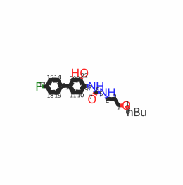 CCCCOCCCNC(=O)Nc1ccc(-c2ccc(F)cc2)cc1O